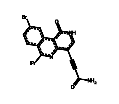 CC(C)c1nc2c(C#CC(N)=O)c[nH]c(=O)c2c2cc(Br)ccc12